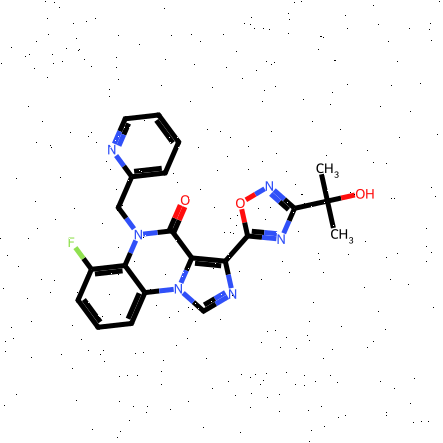 CC(C)(O)c1noc(-c2ncn3c2c(=O)n(Cc2ccccn2)c2c(F)cccc23)n1